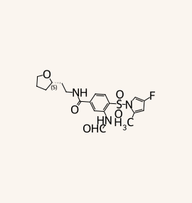 Cc1cc(F)cn1S(=O)(=O)c1ccc(C(=O)NCC[C@@H]2CCCO2)cc1NC=O